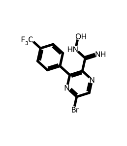 N=C(NO)c1ncc(Br)nc1-c1ccc(C(F)(F)F)cc1